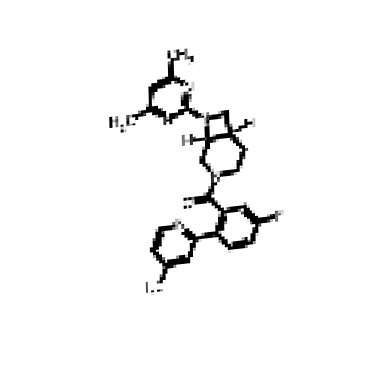 Cc1ccnc(-c2ccc(F)cc2C(=O)N2CC[C@H]3CN(c4nc(C)cc(C)n4)[C@H]3C2)c1